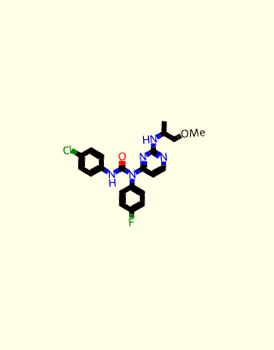 COCC(C)Nc1nccc(N(C(=O)Nc2ccc(Cl)cc2)c2ccc(F)cc2)n1